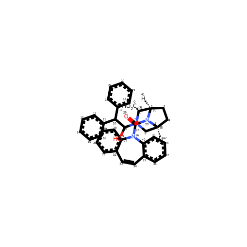 O=C(O)[C@@H]1[C@H]2CC[C@@H](CN1C(O)C(c1ccccc1)c1ccccc1)N2C(=O)N1c2ccccc2C=Cc2ccccc21